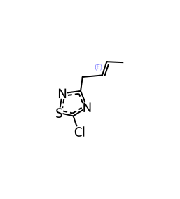 C/C=C/Cc1nsc(Cl)n1